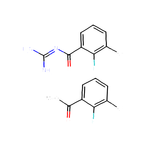 COC(=O)c1cccc(C(F)(F)F)c1F.NC(N)=NC(=O)c1cccc(C(F)(F)F)c1F